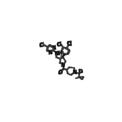 CC1(C(=O)N2CCC(C(=O)N3CC(CNc4ncc(Cl)cn4)[C@@H](c4ccc(Cl)c(Cl)c4)C3)CC2)CC1